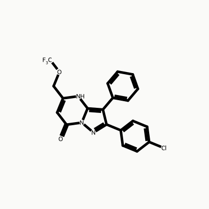 O=c1cc(COC(F)(F)F)[nH]c2c(-c3ccccc3)c(-c3ccc(Cl)cc3)nn12